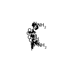 Nc1ccn(CC2=C(C(=O)[O-])N3C(=O)[C@@H](NC(=O)/C(=N/OCF)C4=CSN(N)N4)[C@H]3SC2)c2ccn[n+]1-2